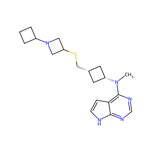 CN(c1ncnc2[nH]ccc12)[C@H]1C[C@@H](CSC2CN(C3CCC3)C2)C1